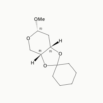 CO[C@@H]1C[C@@H]2OC3(CCCCC3)O[C@@H]2CO1